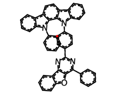 c1ccc(-c2nc(-c3ccc(-n4c5ccccc5c5ccc6c7ccccc7n(-c7ccccc7)c6c54)cc3)nc3c2oc2ccccc23)cc1